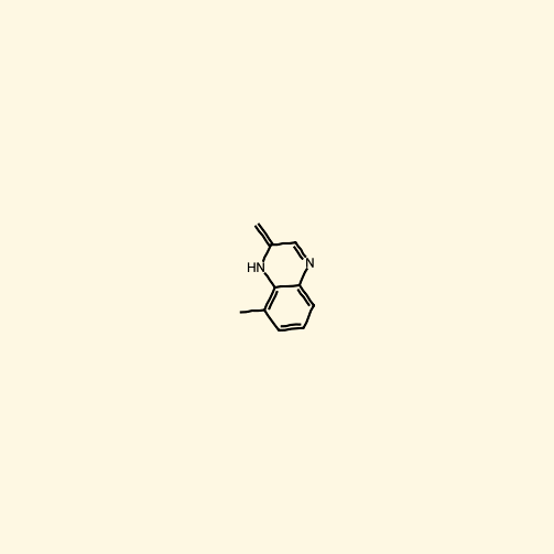 C=C1C=Nc2cccc(C)c2N1